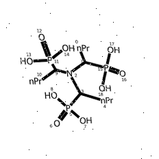 CCCC(N(C(CCC)P(=O)(O)O)C(CCC)P(=O)(O)O)P(=O)(O)O